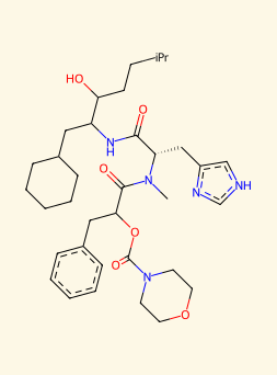 CC(C)CCC(O)C(CC1CCCCC1)NC(=O)[C@H](Cc1c[nH]cn1)N(C)C(=O)C(Cc1ccccc1)OC(=O)N1CCOCC1